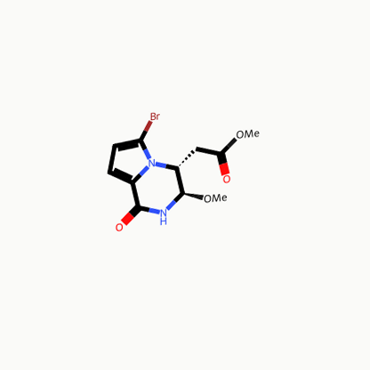 COC(=O)C[C@@H]1[C@@H](OC)NC(=O)c2ccc(Br)n21